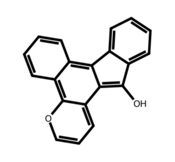 Oc1c2ccccc2c2c3ccccc3c3occcc3c12